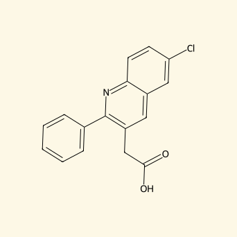 O=C(O)Cc1cc2cc(Cl)ccc2nc1-c1ccccc1